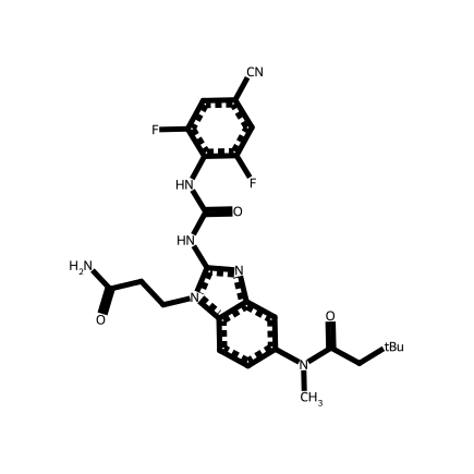 CN(C(=O)CC(C)(C)C)c1ccc2c(c1)nc(NC(=O)Nc1c(F)cc(C#N)cc1F)n2CCC(N)=O